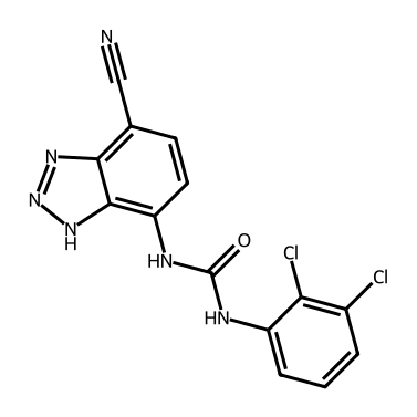 N#Cc1ccc(NC(=O)Nc2cccc(Cl)c2Cl)c2[nH]nnc12